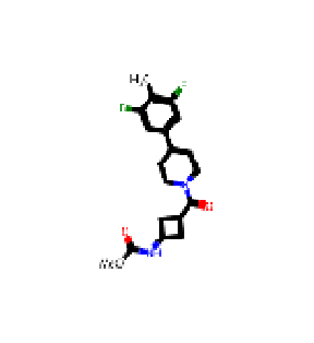 COC(=O)NC1CC(C(=O)N2CCC(c3cc(F)c(C)c(F)c3)CC2)C1